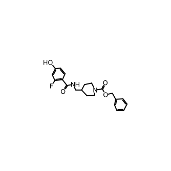 O=C(NCC1CCN(C(=O)OCc2ccccc2)CC1)c1ccc(O)cc1F